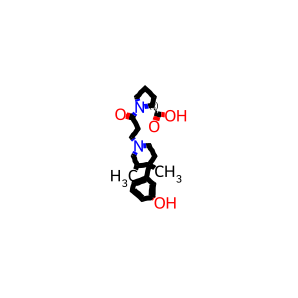 CC1CN(CCC(=O)N2CCC[C@@H]2C(=O)O)CCC1(C)c1cccc(O)c1